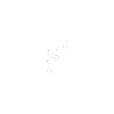 N#Cc1cccc(-c2ccc(-c3c4c(c(-c5ccc(-c6cccc(C#N)c6)s5)c5nsnc35)NSN4)s2)c1